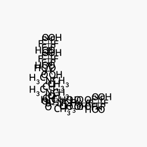 CC[N+](C)(CC)CC.CC[N+](C)(CC)CC.CC[N+](C)(CC)CC.O=C(O)C(=O)O.O=C(O)C(=O)O.O=C(O)C(=O)O.O=C(O)C(C(=O)O)(C(F)(F)F)C(F)(F)F.O=C(O)C(C(=O)O)(C(F)(F)F)C(F)(F)F.O=C(O)C(C(=O)O)(C(F)(F)F)C(F)(F)F.[O-]B([O-])[O-]